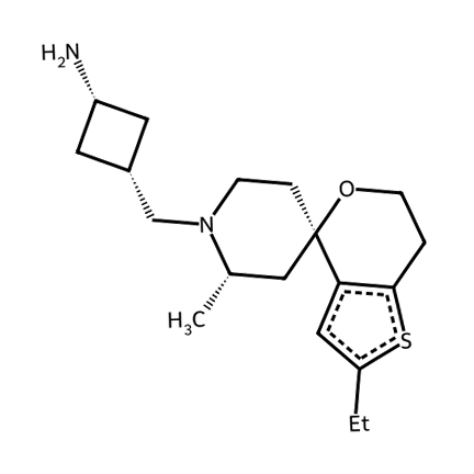 CCc1cc2c(s1)CCO[C@@]21CCN(C[C@H]2C[C@@H](N)C2)[C@@H](C)C1